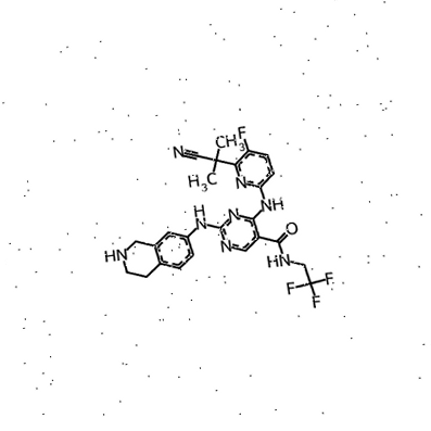 CC(C)(C#N)c1nc(Nc2nc(Nc3ccc4c(c3)CNCC4)ncc2C(=O)NCC(F)(F)F)ccc1F